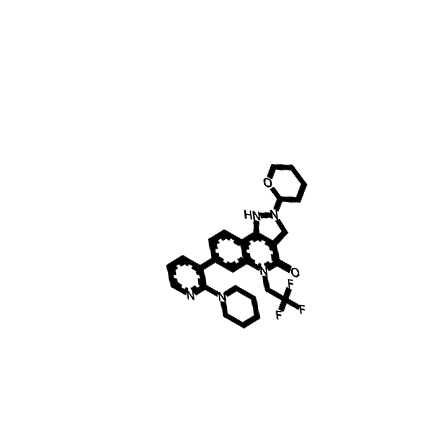 O=c1c2c(c3ccc(-c4cccnc4N4CCCCC4)cc3n1CC(F)(F)F)NN(C1CCCCO1)C2